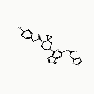 N#Cc1ccc(CC(=O)N2CCN(c3nc(NC(=O)Oc4ccno4)nc4[nH]ccc34)CC23CC3)cc1